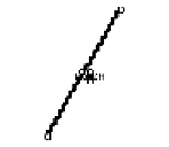 O=CCCCCCCCCCCCCCCCCCOCCCCCCCCCCCCCCCCCC=O.O=S(=O)(O)O